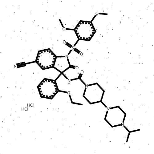 CCOc1ccccc1C1(NC(=O)N2CCC(N3CCN(C(C)C)CC3)CC2)C(=O)N(S(=O)(=O)c2ccc(OC)cc2OC)c2ccc(C#N)cc21.Cl.Cl